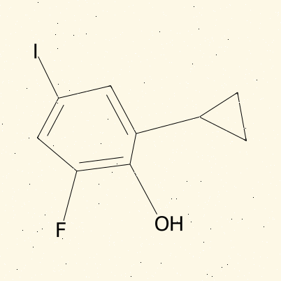 Oc1c(F)cc(I)cc1C1CC1